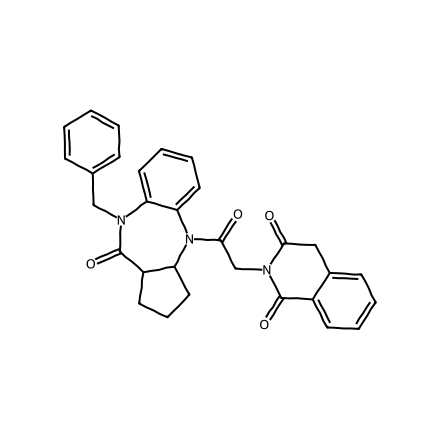 O=C1Cc2ccccc2C(=O)N1CC(=O)N1c2ccccc2N(Cc2ccccc2)C(=O)C2CCCC21